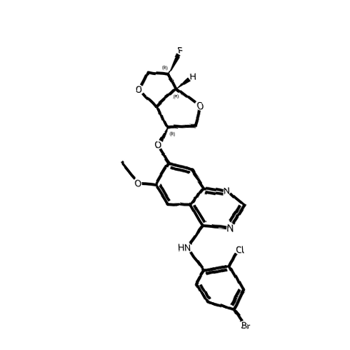 COc1cc2c(Nc3ccc(Br)cc3Cl)ncnc2cc1O[C@@H]1CO[C@@H]2C1OC[C@H]2F